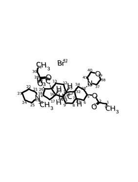 CCC(=O)O[C@H]1C[C@@H]2CC[C@@H]3[C@H](CC[C@@]4(C)[C@H]3C[C@H]([N+]3(C)CCCCC3)[C@@H]4OC(=O)CC)[C@@]2(C)C[C@@H]1N1CCOCC1.[Br-]